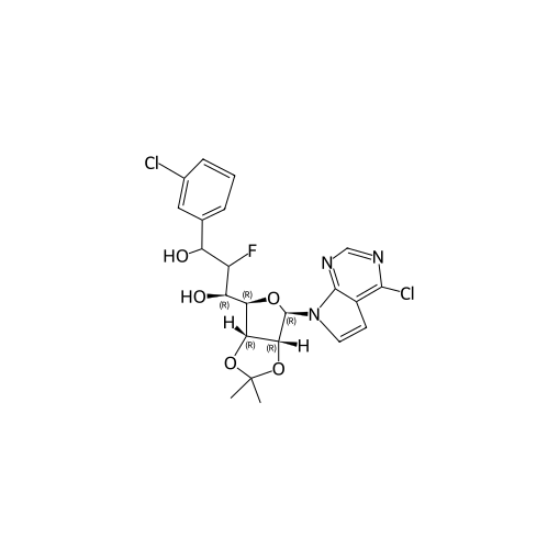 CC1(C)O[C@H]2[C@@H](O1)[C@H](n1ccc3c(Cl)ncnc31)O[C@@H]2[C@@H](O)C(F)C(O)c1cccc(Cl)c1